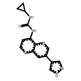 O=C(Nc1ccnc2cc(-c3cn[nH]c3)cnc12)NC1CC1